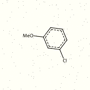 COc1c[c]cc(Cl)c1